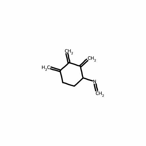 C=NC1CCC(=C)C(=C)C1=C